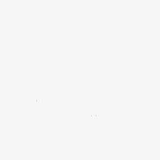 Clc1ccccc1.OC1CCCC1